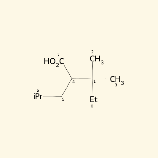 CCC(C)(C)C(CC(C)C)C(=O)O